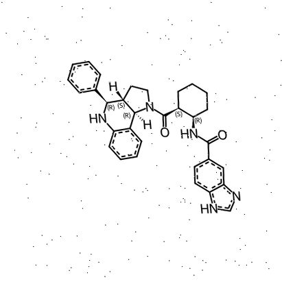 O=C(N[C@@H]1CCCC[C@@H]1C(=O)N1CC[C@H]2[C@H](c3ccccc3)Nc3ccccc3[C@@H]21)c1ccc2[nH]cnc2c1